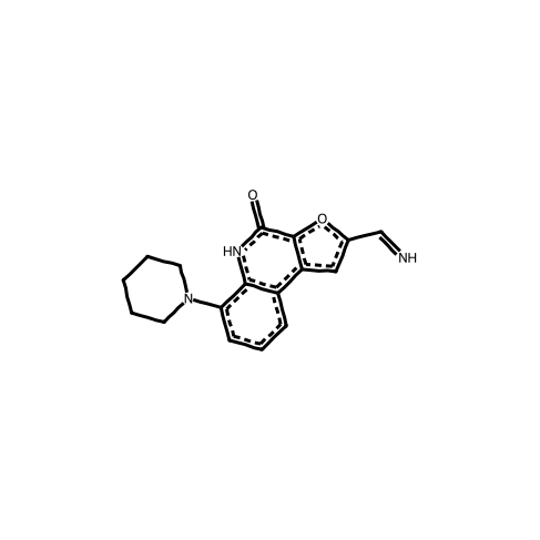 N=Cc1cc2c(o1)c(=O)[nH]c1c(N3CCCCC3)cccc12